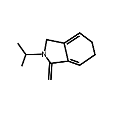 C=C1C2=CCCC=C2CN1C(C)C